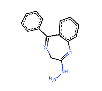 NNC1=Nc2ccccc2C(c2ccccc2)=NC1